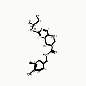 Cc1cc(CNC(=O)C2CNc3cnc(N[C@@H](C)CO)nc3C2)ccc1Cl